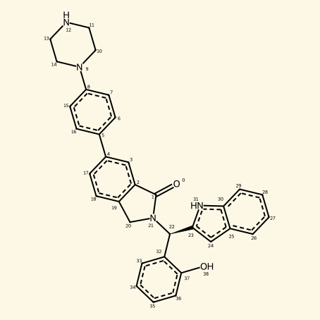 O=C1c2cc(-c3ccc(N4CCNCC4)cc3)ccc2CN1[C@@H](c1cc2ccccc2[nH]1)c1ccccc1O